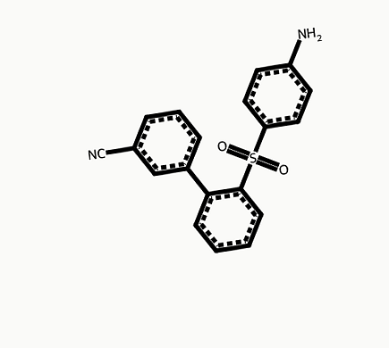 N#Cc1cccc(-c2ccccc2S(=O)(=O)c2ccc(N)cc2)c1